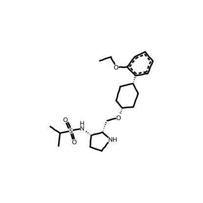 CCOc1ccccc1[C@H]1CC[C@@H](OC[C@@H]2NCC[C@@H]2NS(=O)(=O)C(C)C)CC1